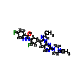 Cc1cn2c(n1)c(-c1ccc(NC(=O)c3ccc(F)cc3)c(F)c1)cc1cnc(N3CCN(C)CC3)nc12